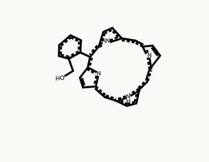 OCc1ccccc1-c1c2nc(cc3ccc(cc4nc(cc5ccc1[nH]5)C=C4)[nH]3)C=C2